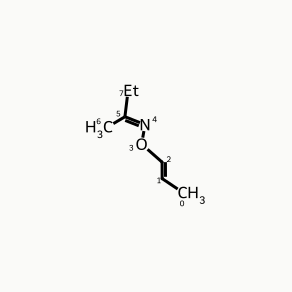 CC=CON=C(C)CC